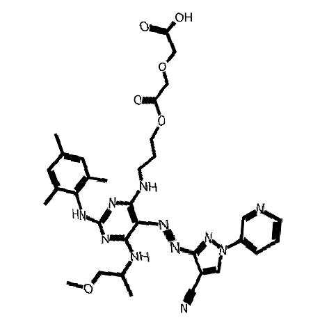 COCC(C)Nc1nc(Nc2c(C)cc(C)cc2C)nc(NCCCOC(=O)COCC(=O)O)c1N=Nc1nn(-c2cccnc2)cc1C#N